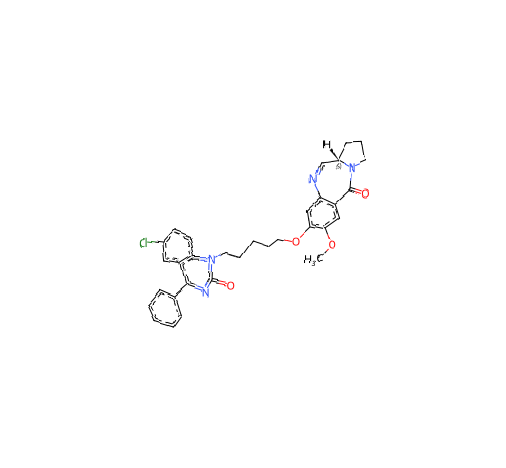 COc1cc2c(cc1OCCCCCn1c(=O)nc(-c3ccccc3)c3cc(Cl)ccc31)N=C[C@@H]1CCCN1C2=O